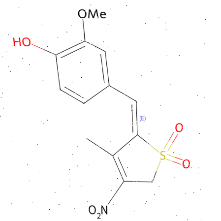 COc1cc(/C=C2\C(C)=C([N+](=O)[O-])CS2(=O)=O)ccc1O